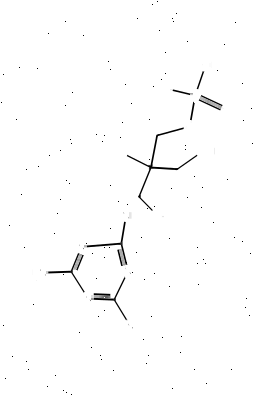 CC(CO)(CO)COP(=O)(O)O.Nc1nc(N)nc(N)n1